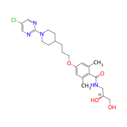 Cc1cc(OCCCC2CCN(c3ncc(Cl)cn3)CC2)cc(C)c1C(=O)NC[C@H](O)CO